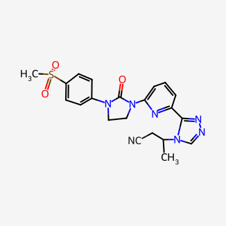 CC(CC#N)n1cnnc1-c1cccc(N2CCN(c3ccc(S(C)(=O)=O)cc3)C2=O)n1